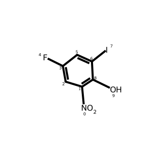 O=[N+]([O-])c1cc(F)cc(I)c1O